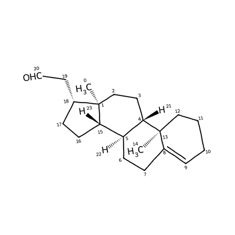 C[C@]12CC[C@H]3[C@@H](CCC4=CCCC[C@@]43C)[C@@H]1CC[C@@H]2CC=O